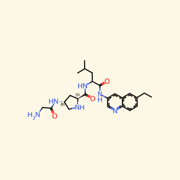 CCc1ccc2ncc(NC(=O)C(CC(C)C)NC(=O)[C@@H]3C[C@@H](NC(=O)CN)CN3)cc2c1